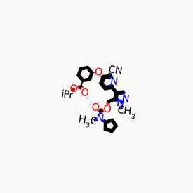 CC(C)OC(=O)[C@H]1CCC[C@H](Oc2ccc(-c3cnn(C)c3COC(=O)N(C)C3CCCC3)nc2C#N)C1